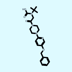 CC(C)(C)N(CC(=O)N1CCN(c2ccc(OCc3ccccc3)cn2)CC1)C(=O)O